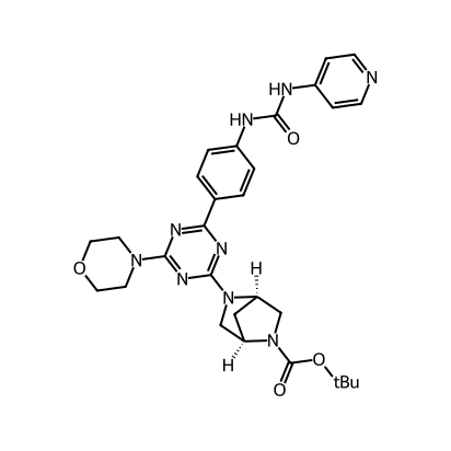 CC(C)(C)OC(=O)N1C[C@H]2C[C@@H]1CN2c1nc(-c2ccc(NC(=O)Nc3ccncc3)cc2)nc(N2CCOCC2)n1